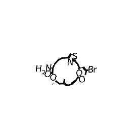 C/C(Br)=C\[C@@H]1Cc2nc(cs2)CCC[C@H](N)C(=O)O[C@@H](C)C/C(C)=C/C=C\C(=O)O1